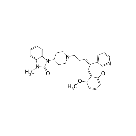 COC1C=CC=C2Oc3ncccc3C(=CCCN3CCC(n4c(=O)n(C)c5ccccc54)CC3)C=C21